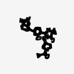 Cc1cc(-c2cccc3[nH]ncc23)ccc1C1=NC2(CC2)C(=O)N1C[C@@H]1CCN(C(=O)C2CC2)C1